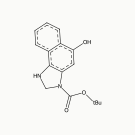 CC(C)(C)OC(=O)N1CNc2c1cc(O)c1ccccc21